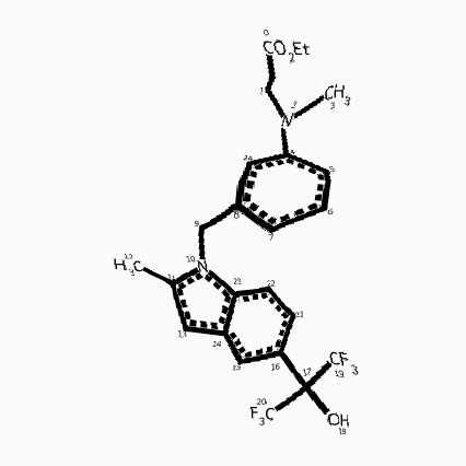 CCOC(=O)CN(C)c1cccc(Cn2c(C)cc3cc(C(O)(C(F)(F)F)C(F)(F)F)ccc32)c1